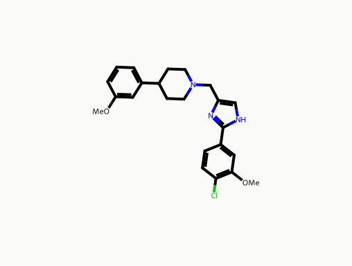 COc1cccc(C2CCN(Cc3c[nH]c(-c4ccc(Cl)c(OC)c4)n3)CC2)c1